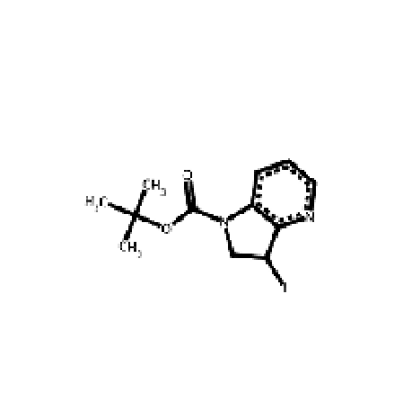 CC(C)(C)OC(=O)N1CC(I)c2ncccc21